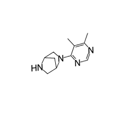 Cc1ncnc(N2CC3CC2CN3)c1C